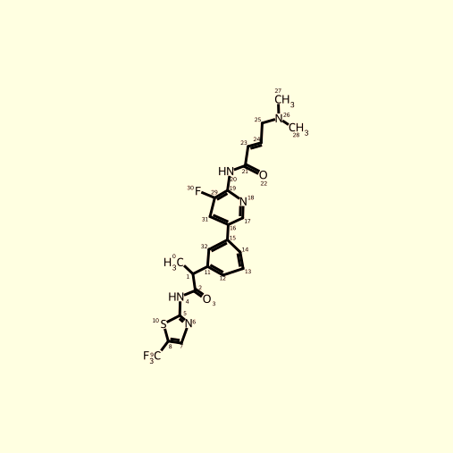 CC(C(=O)Nc1ncc(C(F)(F)F)s1)c1cccc(-c2cnc(NC(=O)/C=C/CN(C)C)c(F)c2)c1